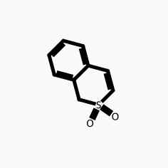 O=S1(=O)C=Cc2ccccc2C1